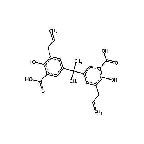 C=CCc1cc(C(C)(C)c2cc(CC=C)c(O)c(C(=O)O)c2)cc(C(=O)O)c1O